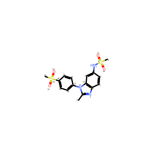 Cc1nc2ccc(NS(C)(=O)=O)cc2n1-c1ccc(S(C)(=O)=O)cc1